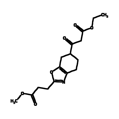 CCOC(=O)CC(=O)C1CCc2nc(CCC(=O)OC)oc2C1